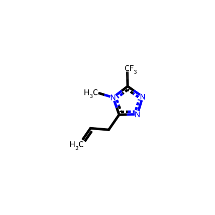 C=CCc1nnc(C(F)(F)F)n1C